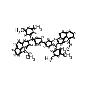 CCn1c2cccc3ccc4cc(N(c5ccc(-c6ccc(N(c7cc(C)cc(C)c7)c7cc8ccc9cccc%10c9c8c(c7)n%10CC)cc6)cc5)c5cc(C)cc(C)c5)cc1c4c32